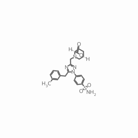 Cc1cccc(Cc2nc(CN3C[C@@H]4CC[C@H]3C(=O)O4)nn2-c2ccc(S(N)(=O)=O)cc2)c1